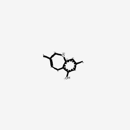 CC1=CCc2c(O)cc(C)cc2OC1